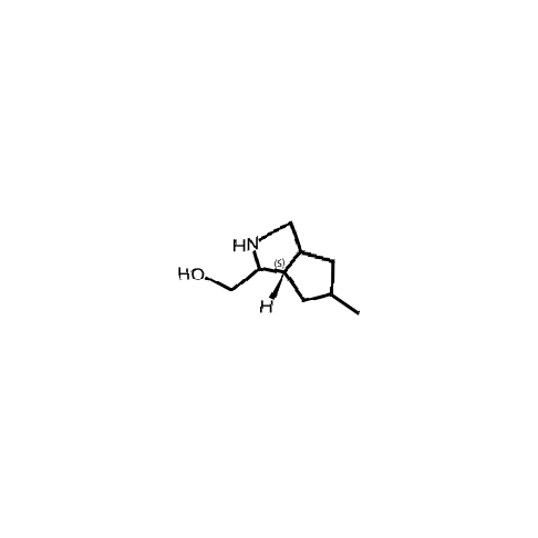 CC1CC2CNC(CO)[C@H]2C1